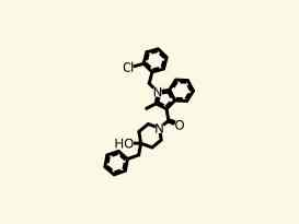 Cc1c(C(=O)N2CCC(O)(Cc3ccccc3)CC2)c2ccccc2n1Cc1ccccc1Cl